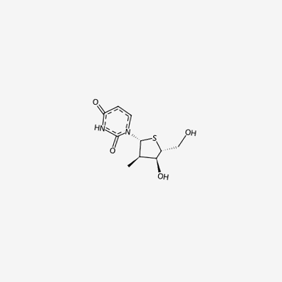 C[C@@H]1[C@H](O)[C@@H](CO)S[C@H]1n1ccc(=O)[nH]c1=O